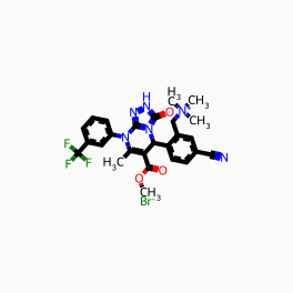 COC(=O)C1=C(C)N(c2cccc(C(F)(F)F)c2)c2n[nH]c(=O)n2C1c1ccc(C#N)cc1C[N+](C)(C)C.[Br-]